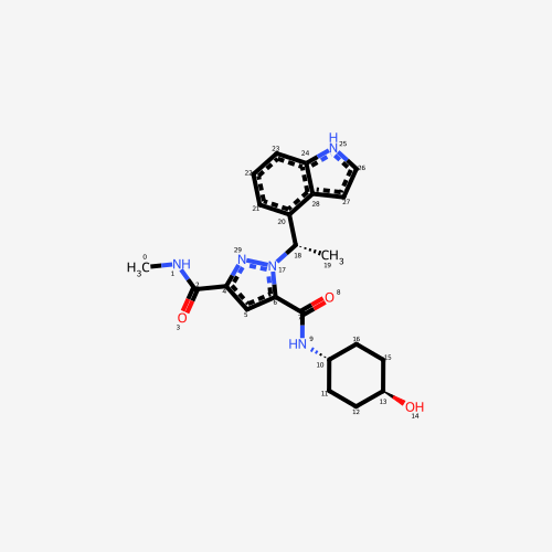 CNC(=O)c1cc(C(=O)N[C@H]2CC[C@H](O)CC2)n([C@@H](C)c2cccc3[nH]ccc23)n1